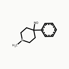 CN1CCC(N=O)(c2ccccc2)CC1